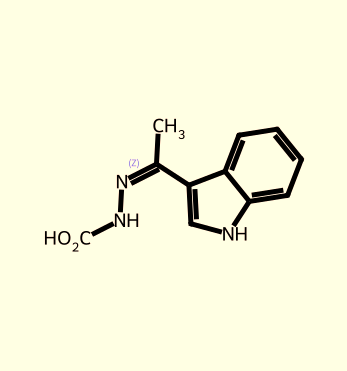 C/C(=N/NC(=O)O)c1c[nH]c2ccccc12